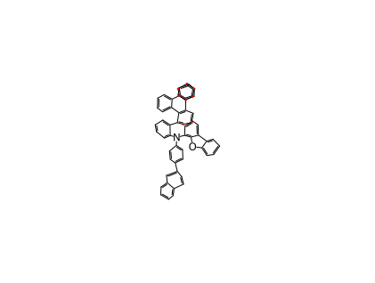 c1ccc(-c2ccccc2-c2c(-c3ccccc3)cccc2-c2ccccc2N(c2ccc(-c3ccc4ccccc4c3)cc2)c2cccc3c2oc2ccccc23)cc1